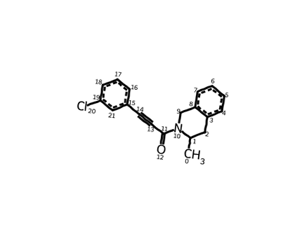 CC1Cc2ccccc2CN1C(=O)C#Cc1cccc(Cl)c1